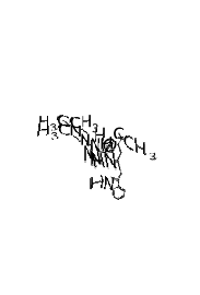 CC(C)CCC(CC1CNc2ccccc21)NC(=O)c1nnc(N2CCN(C(C)(C)C)CC2)[nH]1